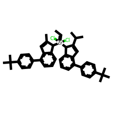 C[CH]=[Zr]([Cl])([Cl])([CH]1C(C)=Cc2c(-c3ccc(C(C)(C)C)cc3)cccc21)[CH]1C(C(C)C)=Cc2c(-c3ccc(C(C)(C)C)cc3)cccc21